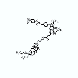 CC(C)CCC[C@@H](C)[C@H]1CC[C@H]2[C@@H]3CC=C4C[C@@H](OCCCNC(=O)CCC(=O)N[C@@H](CC(C)C)C(=O)N[C@@H](CC(C)C)C(=O)Nc5ccc(COC(=O)Oc6ccc([N+](=O)[O-])cc6)cc5)CC[C@]4(C)[C@H]3CC[C@]12C